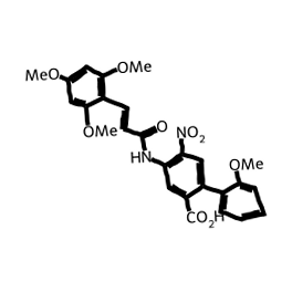 COc1cc(OC)c(C=CC(=O)Nc2cc(C(=O)O)c(-c3ccccc3OC)cc2[N+](=O)[O-])c(OC)c1